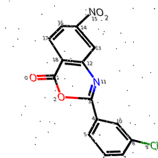 O=c1oc(-c2cccc(Cl)c2)nc2cc([N+](=O)[O-])ccc12